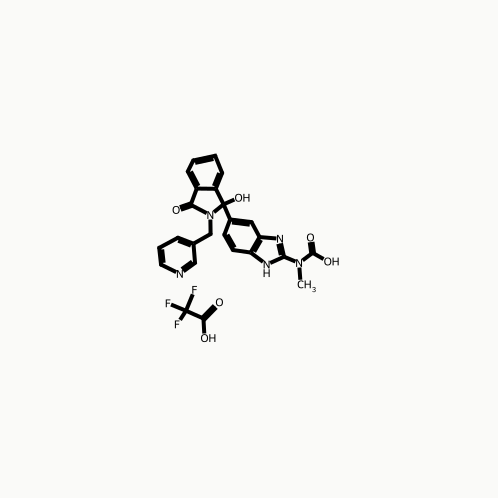 CN(C(=O)O)c1nc2cc(C3(O)c4ccccc4C(=O)N3Cc3cccnc3)ccc2[nH]1.O=C(O)C(F)(F)F